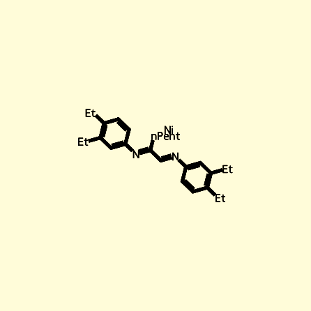 CCCCCC(/C=N/c1ccc(CC)c(CC)c1)=N\c1ccc(CC)c(CC)c1.[Ni]